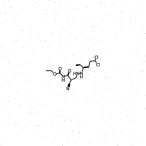 C=C/C(=C\CC(Cl)Cl)NNCC(C#N)C(=O)NC(=O)OCC